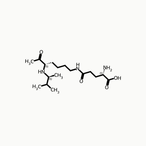 CC(=O)[C@H](CCCCNC(=O)CC[C@H](N)C(=O)O)N[C@@H](C)C(C)C